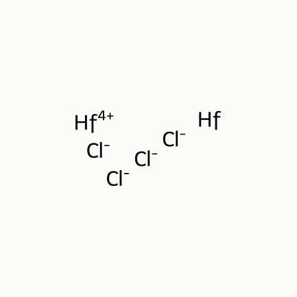 [Cl-].[Cl-].[Cl-].[Cl-].[Hf+4].[Hf]